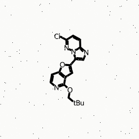 CC(C)(C)COc1nccc2oc(-c3cnc4ccc(Cl)nn34)cc12